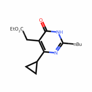 CCCCc1nc(C2CC2)c(CC(=O)OCC)c(=O)[nH]1